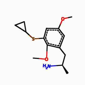 COc1cc(C[C@@H](C)N)c(OC)c(SC2CC2)c1